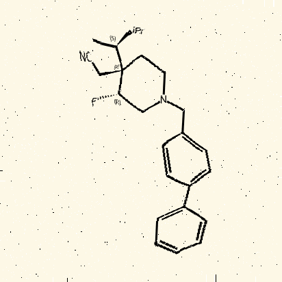 CC(C)[C@H](C)[C@]1(CC#N)CCN(Cc2ccc(-c3ccccc3)cc2)C[C@@H]1F